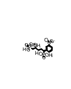 O=[N+]([O-])c1cccc(C(CCC(S)CP(=O)(O)O)P(=O)(O)O)c1